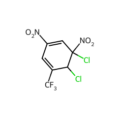 O=[N+]([O-])C1=CC(Cl)([N+](=O)[O-])C(Cl)C(C(F)(F)F)=C1